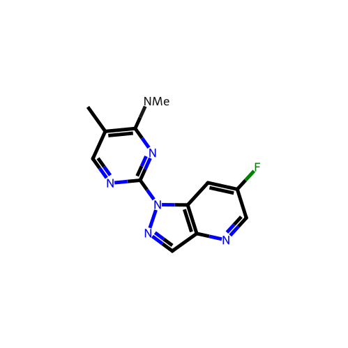 CNc1nc(-n2ncc3ncc(F)cc32)ncc1C